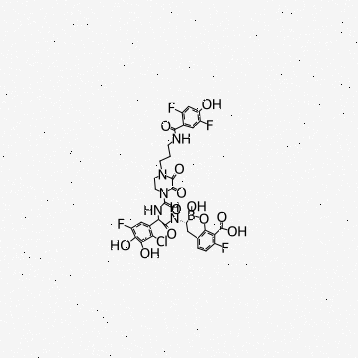 O=C(NCCCN1CCN(C(=O)NC(C(=O)N[C@H]2Cc3ccc(F)c(C(=O)O)c3OB2O)c2cc(F)c(O)c(O)c2Cl)C(=O)C1=O)c1cc(F)c(O)cc1F